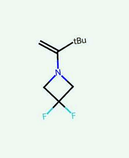 C=C(N1CC(F)(F)C1)C(C)(C)C